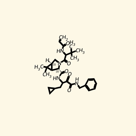 C=CC(=O)NC(C(=O)N1C[C@H]2C([C@H]1C(=O)NC(CC1CC1)C(=O)C(=O)NCc1ccccc1)C2(C)C)C(C)(C)C